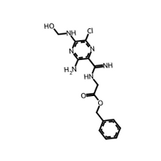 N=C(NCC(=O)OCc1ccccc1)c1nc(Cl)c(NCO)nc1N